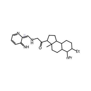 CCCC1C(CC)CCC2C1CCC1(C)C(C(=O)CN/C=C3/N=CC=CC3=N)CCC21